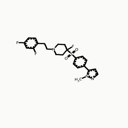 Cn1nccc1-c1ccc(S(=O)(=O)C2(F)CCN(CCc3ccc(F)cc3F)CC2)cc1